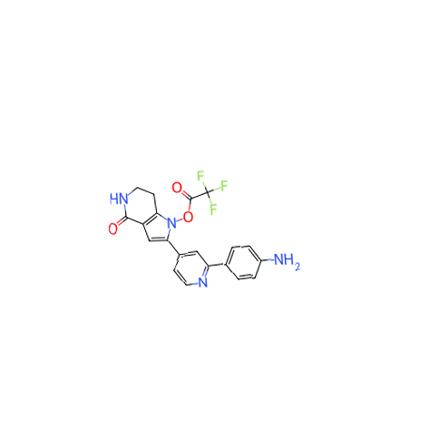 Nc1ccc(-c2cc(-c3cc4c(n3OC(=O)C(F)(F)F)CCNC4=O)ccn2)cc1